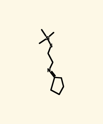 C[Si](C)(C)SCCN=C1CCCC1